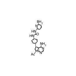 Bc1cccc(NC(=O)Nc2ccc(-c3cc(C(C)=O)n4ncnc(N)c34)cc2)n1